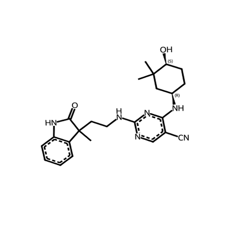 CC1(CCNc2ncc(C#N)c(N[C@@H]3CC[C@H](O)C(C)(C)C3)n2)C(=O)Nc2ccccc21